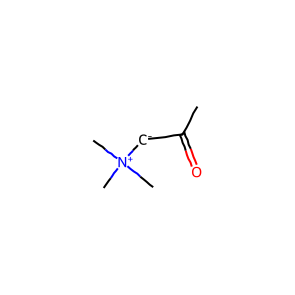 CC(=O)[CH-][N+](C)(C)C